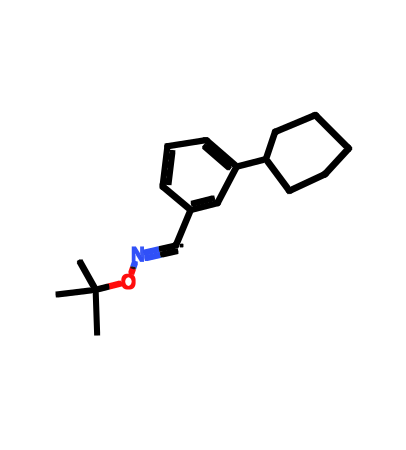 CC(C)(C)O/N=[C]/c1cccc(C2CCCCC2)c1